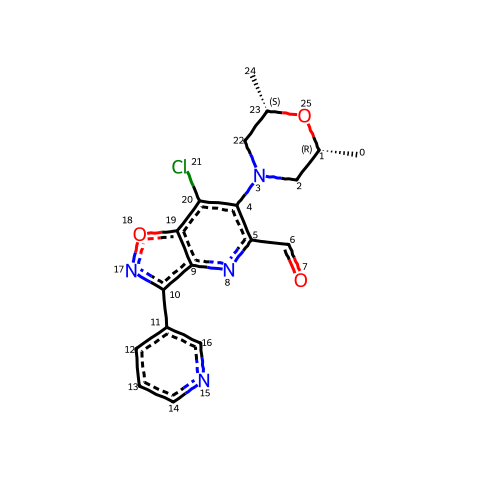 C[C@@H]1CN(c2c(C=O)nc3c(-c4cccnc4)noc3c2Cl)C[C@H](C)O1